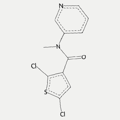 CN(C(=O)c1cc(Cl)sc1Cl)c1cccnc1